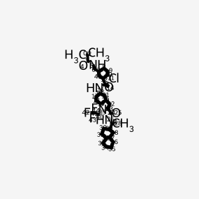 CC(C)C(=O)NCc1ccc(Cl)c(C(=O)Nc2ccc3c(c2)cc(C(=O)N[C@@H](C)c2ccc4ccccc4c2)n3CC(F)(F)F)c1